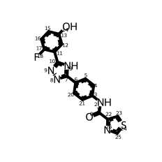 O=C(Nc1ccc(-c2nnc(-c3cc(O)ccc3F)[nH]2)cc1)c1cscn1